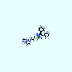 c1ccc(-c2nc(SCCCn3ccc4nccn43)[nH]c2-c2ccccc2)cc1